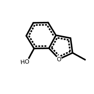 Cc1cc2cccc(O)c2o1